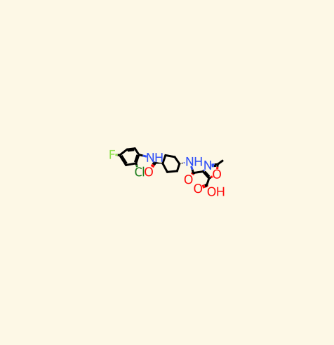 Cc1nc(C(=O)N[C@H]2CC[C@H](C(=O)Nc3ccc(F)cc3Cl)CC2)c(C(=O)O)o1